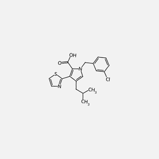 CC(C)Cc1cn(Cc2cccc(Cl)c2)c(C(=O)O)c1-c1nccs1